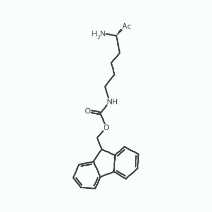 CC(=O)[C@H](N)CCCCNC(=O)OCC1c2ccccc2-c2ccccc21